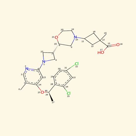 Cc1cnc(N2CC([C@H]3CN(C4CC(C)(C(=O)O)C4)CCO3)C2)cc1O[C@H](C)c1ccc(Cl)cc1Cl